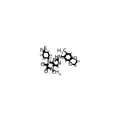 Cc1cc2c(cc1Nc1ncc3c(n1)n(C1CCC(F)(F)CC1)c(=O)c(=O)n3C)OCCO2